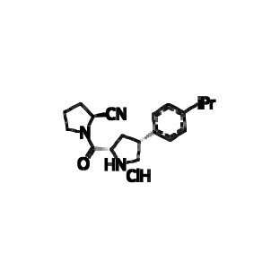 CC(C)c1ccc([C@@H]2CN[C@H](C(=O)N3CCC[C@H]3C#N)C2)cc1.Cl